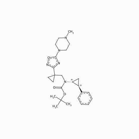 CN1CCN(c2nc(C3(CN(C(=O)OC(C)(C)C)[C@@H]4C[C@H]4c4ccccc4)CC3)no2)CC1